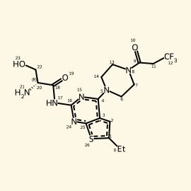 CCc1cc2c(N3CCN(C(=O)CC(F)(F)F)CC3)nc(NC(=O)[C@H](N)CO)nc2s1